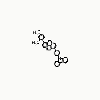 Cc1ccc(-c2ccc3ccc4c(-c5ccc(-n6c7ccccc7c7ccccc76)cc5)ccc5ccc2c3c54)c(C)c1